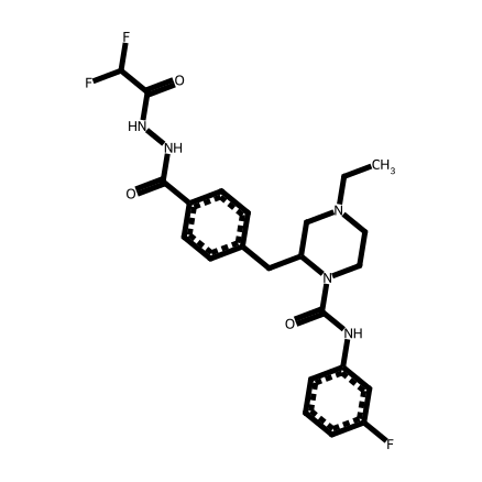 CCN1CCN(C(=O)Nc2cccc(F)c2)C(Cc2ccc(C(=O)NNC(=O)C(F)F)cc2)C1